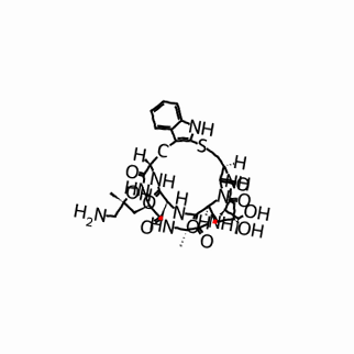 C[C@@H]1NC(=O)[C@@H](C[C@@](C)(O)CN)NC(=O)[C@@H]2Cc3c([nH]c4ccccc34)SC[C@@H](NC(=O)[C@@H]([C@H](C)O)NC1=O)C(=O)N1C[C@H](O)C[C@H]1C(=O)N[C@@H](C)C(=O)N2